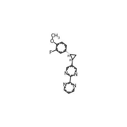 COc1ccc([C@@H]2C[C@H]2c2cnc(-c3ncccn3)nc2)cc1F